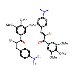 CCC(=Cc1ccc(N(CC)CC)cc1)C(=O)c1cc(OC)c(OC)c(OC)c1.COc1cc(C(=O)C(Br)=Cc2ccc(N(C)C)cc2)cc(OC)c1OC